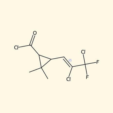 CC1(C)C(/C=C(\Cl)C(F)(F)Cl)C1C(=O)Cl